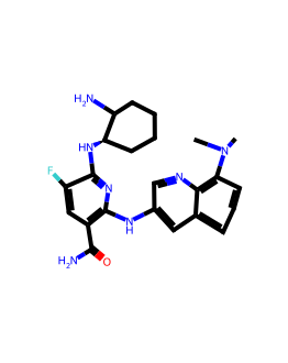 CN(C)c1cccc2cc(Nc3nc(N[C@@H]4CCCCC4N)c(F)cc3C(N)=O)cnc12